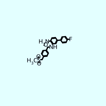 CS(=O)(=O)Cc1ccc(C(=O)Nc2cc(-c3ccc(F)cc3)ccc2N)cc1